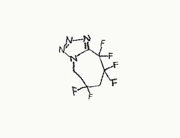 FC1(F)Cn2nnnc2C(F)(F)C(F)(F)C1